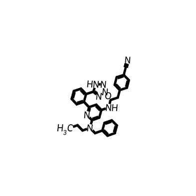 CCCN(Cc1ccccc1)c1cc(NC(=O)Cc2ccc(C#N)cc2)cc(-c2ccccc2-c2nnn[nH]2)n1